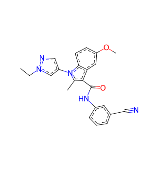 CCn1cc(-n2c(C)c(C(=O)Nc3cccc(C#N)c3)c3cc(OC)ccc32)cn1